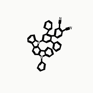 N#Cc1ccc(-c2c(-c3ccccc3)cc(-n3c4ccccc4c4ccc5c(c6ccccc6n5-c5ccccc5)c43)cc2-c2ccccc2)cc1C#N